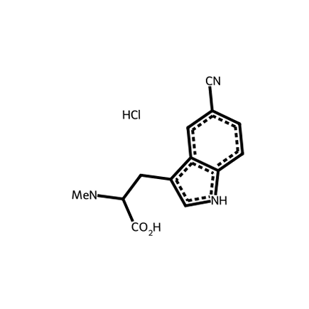 CNC(Cc1c[nH]c2ccc(C#N)cc12)C(=O)O.Cl